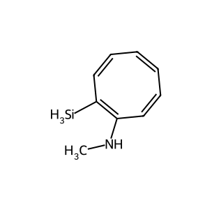 CNC1=C([SiH3])C=CC=CC=C1